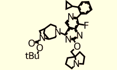 CC(C)(C)OC(=O)N1CC2CCN(c3nc(OCC45CCCN4CCC5)nc4c(F)c(-c5ccccc5C5CC5)ncc34)CC1C2